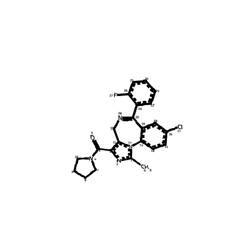 Cc1nc(C(=O)N2CCCC2)c2n1-c1ccc(Cl)cc1C(c1ccccc1F)=NC2